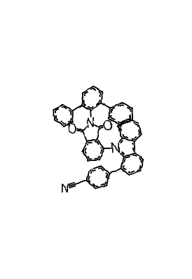 N#Cc1ccc(-c2cccc3c4ccccc4n(-c4cccc5c4C(=O)N(c4c(-c6ccccc6)cccc4-c4ccccc4)C5=O)c23)cc1